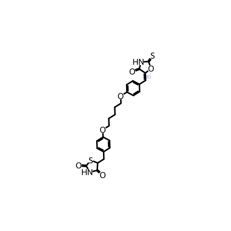 O=C1NC(=O)C(Cc2ccc(OCCCCCOc3ccc(/C=C4/OC(=S)NC4=O)cc3)cc2)S1